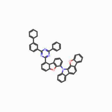 C1=CCCC(c2cccc(-c3nc(C4=CC=CC5Oc6c(cccc6-n6c7ccccc7c7ccc8c9ccccc9oc8c76)C45)nc(-c4ccccc4)n3)c2)=C1